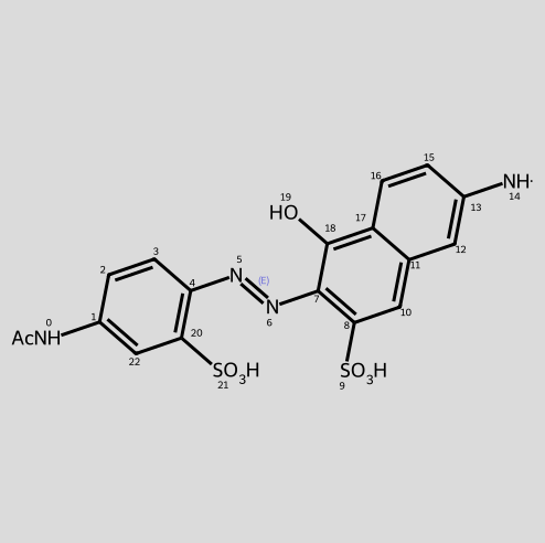 CC(=O)Nc1ccc(/N=N/c2c(S(=O)(=O)O)cc3cc([NH])ccc3c2O)c(S(=O)(=O)O)c1